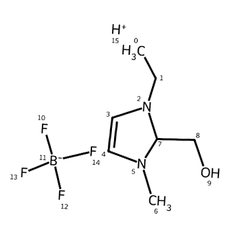 CCN1C=CN(C)C1CO.F[B-](F)(F)F.[H+]